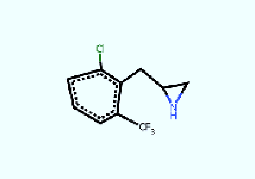 FC(F)(F)c1cccc(Cl)c1CC1CN1